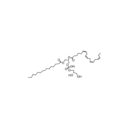 CC/C=C\C/C=C\C/C=C\C/C=C\CCCCC(=O)O[C@H](COC(=O)CCCCCCCCCCCCCC)COP(=O)(O)OC[C@@H](O)CO